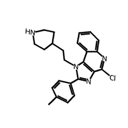 Cc1ccc(-c2nc3c(Cl)nc4ccccc4c3n2CCC2CCNCC2)cc1